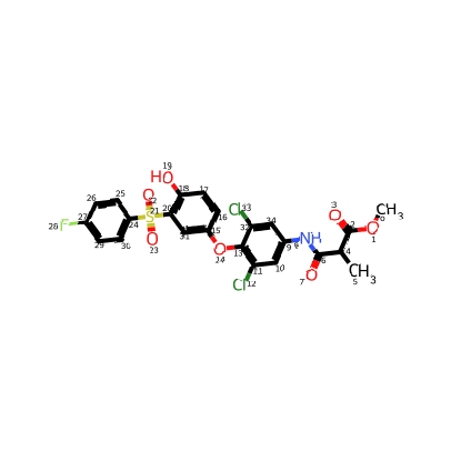 COC(=O)C(C)C(=O)Nc1cc(Cl)c(Oc2ccc(O)c(S(=O)(=O)c3ccc(F)cc3)c2)c(Cl)c1